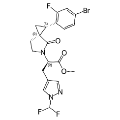 COC(=O)[C@@H](Cc1cnn(C(F)F)c1)N1CC[C@@]2(C[C@@H]2c2ccc(Br)cc2F)C1=O